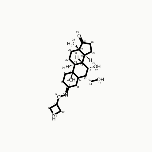 C[C@]12CCC(=NOC3CNC3)CC1[C@@H](CO)[C@@H](O)[C@@H]1[C@@H]2CC[C@]2(C)C(=O)CC[C@@H]12